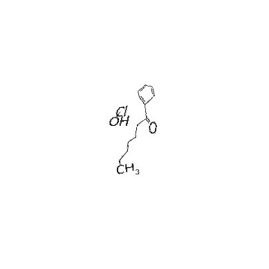 CCCCCCC(=O)c1ccccc1.OCl